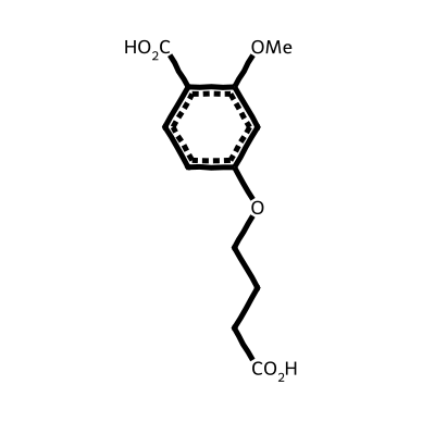 COc1cc(OCCCC(=O)O)ccc1C(=O)O